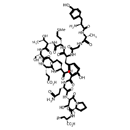 CSCC[C@H](NC(=O)[C@H](Cc1ccccc1)NC(=O)CNC(=O)[C@@H](C)NC(=O)[C@@H](N)Cc1ccc(O)cc1)C(=O)N[C@H](C(=O)N[C@@H](CO)C(=O)N[C@@H](CCC(=O)O)C(=O)N[C@@H](CCCCN)C(=O)N[C@@H](CO)C(=O)N[C@@H](CCC(N)=O)C(=O)N[C@H](C(=O)N1CCC[C@H]1C(=O)N[C@@H](CC(C)C)C(=O)O)[C@@H](C)O)[C@@H](C)O